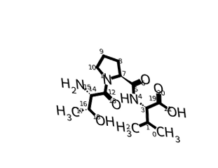 CC(C)[C@H](NC(=O)[C@@H]1CCCN1C(=O)[C@@H](N)[C@@H](C)O)C(=O)O